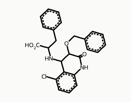 O=C(O)C(Cc1ccccc1)NC1c2c(Cl)cccc2NC(=O)C1OCc1ccccc1